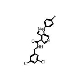 O=C(NCc1cc(Cl)cc(Cl)c1)c1cncc2c1cnn2-c1ccc(F)cc1